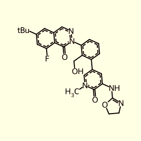 Cn1cc(-c2cccc(-n3ncc4cc(C(C)(C)C)cc(F)c4c3=O)c2CO)cc(NC2=NCCO2)c1=O